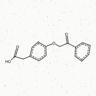 O=C(O)Cc1ccc(OCC(=O)c2ccccc2)cc1